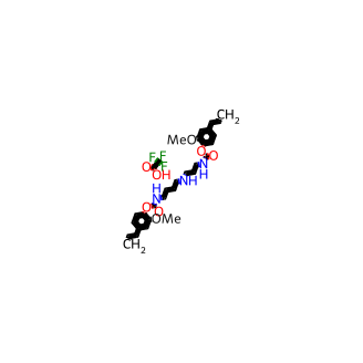 C=CCc1ccc(OC(=O)NCCCCNCCCNC(=O)Oc2ccc(CC=C)cc2OC)c(OC)c1.O=C(O)C(F)(F)F